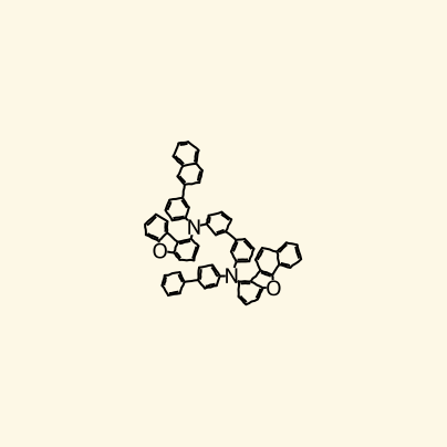 c1ccc(-c2ccc(N(c3cccc(-c4cccc(N(c5cccc(-c6ccc7ccccc7c6)c5)c5cccc6oc7ccccc7c56)c4)c3)c3cccc4oc5c6ccccc6ccc5c34)cc2)cc1